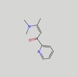 C/C(=C/C(=O)c1ccccn1)N(C)C